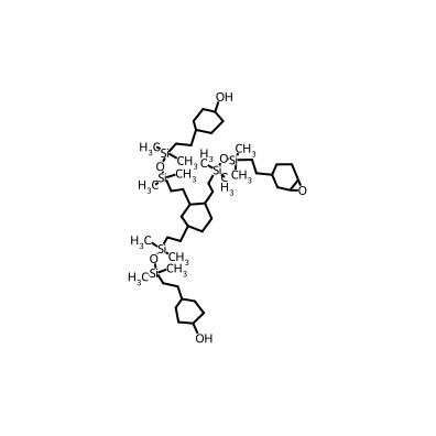 C[Si](C)(CCC1CCC(O)CC1)O[Si](C)(C)CCC1CCC(CC[Si](C)(C)O[Si](C)(C)CCC2CCC3OC3C2)C(CC[Si](C)(C)O[Si](C)(C)CCC2CCC(O)CC2)C1